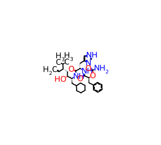 C=C[C@@H](C[C@H](O)[C@H](CC1CCCCC1)NC(=O)[C@H](Cc1c[nH]cn1)NC(=O)[C@H](Cc1ccccc1)OC(N)=O)C(C)C